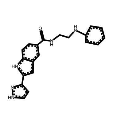 O=C(NCCNc1ccccc1)c1ccc2[nH]c(-c3cc[nH]n3)cc2c1